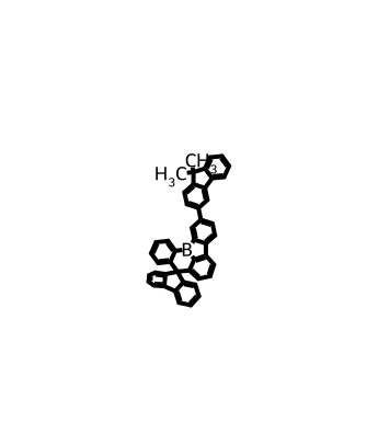 CC1(C)c2ccccc2-c2cc(-c3ccc4c(c3)B3c5ccccc5C5(c6ccccc6-c6ccccc65)c5cccc-4c53)ccc21